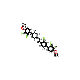 CCOc1ccc(C2=CCC(CCc3ccc(-c4ccc(OCC)c(F)c4F)cc3F)CC2)c(F)c1F